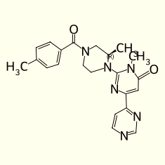 Cc1ccc(C(=O)N2CCN(c3nc(-c4ccncn4)cc(=O)n3C)[C@H](C)C2)cc1